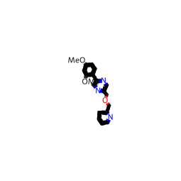 COc1ccc(-c2cnc(COCc3ccccn3)cn2)c(OC)c1